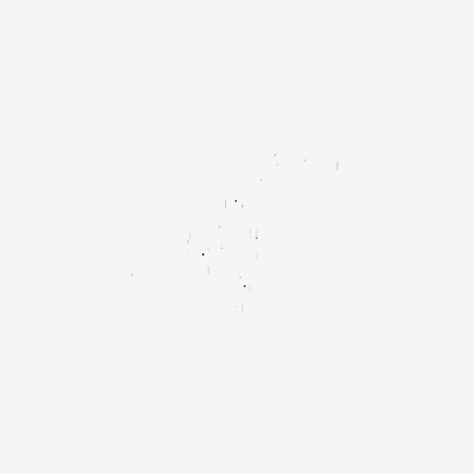 CCc1nnc(-c2cnc(Nc3ccc(S(C)(=O)=O)c(C)c3)nc2N[C@H](CO)c2ccccc2)o1